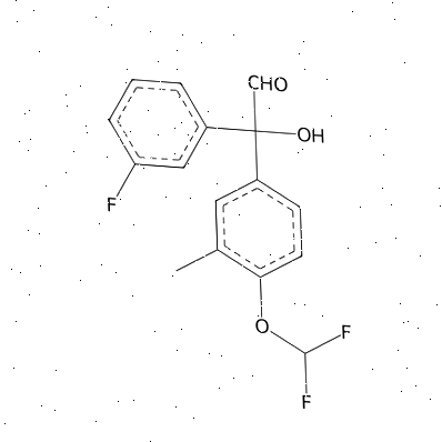 Cc1cc(C(O)(C=O)c2cccc(F)c2)ccc1OC(F)F